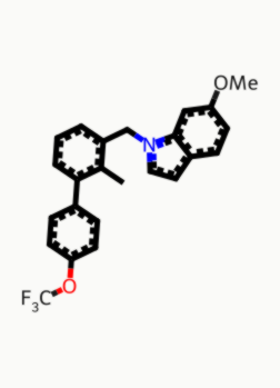 COc1ccc2ccn(Cc3cccc(-c4ccc(OC(F)(F)F)cc4)c3C)c2c1